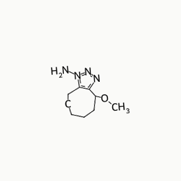 COC1CCCCCc2c1nnn2N